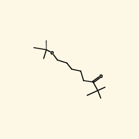 CC(C)(C)OCCCCCC(=O)C(C)(C)C